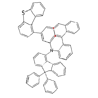 c1ccc(C2(c3ccccc3)c3ccccc3-c3c(N(c4cccc(-c5cccc6sc7ccccc7c56)c4)c4ccccc4-c4cccc5ccccc45)cccc32)cc1